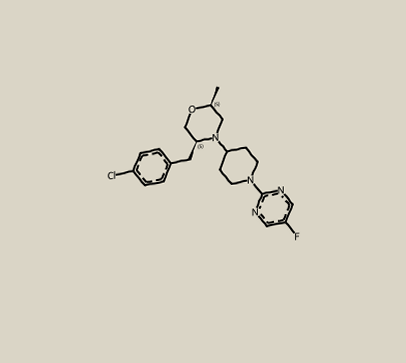 C[C@H]1CN(C2CCN(c3ncc(F)cn3)CC2)[C@@H](Cc2ccc(Cl)cc2)CO1